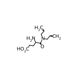 C=CCN(CC=C)C(=O)C(N)CCC(=O)O